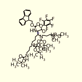 COBN(C)CCCN(C(=O)OC(C)(C)C)/C(CCCN(CCCNC(=O)OC(C)(C)C)C(=O)OC(C)(C)C)=C(/NC(=O)OCC1c2ccccc2-c2ccccc21)C(=O)Oc1c(F)c(F)c(F)c(F)c1F